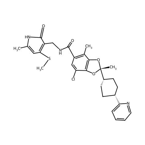 CSc1cc(C)[nH]c(=O)c1CNC(=O)c1cc(Cl)c2c(c1C)O[C@](C)([C@H]1CC[C@@H](c3ccccn3)CC1)O2